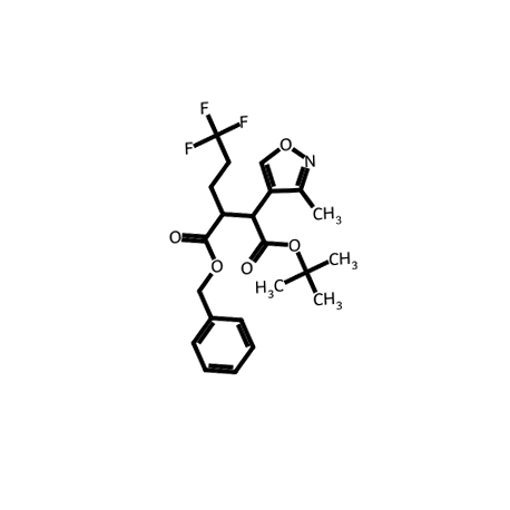 Cc1nocc1C(C(=O)OC(C)(C)C)C(CCC(F)(F)F)C(=O)OCc1ccccc1